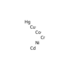 [Cd].[Co].[Cr].[Cu].[Hg].[Ni]